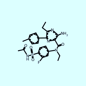 CCc1nc(N)c(C(=O)N(CC)c2ccc(S(=O)(=O)NC(C)=O)c(F)c2)nc1-c1ccc(C)cc1